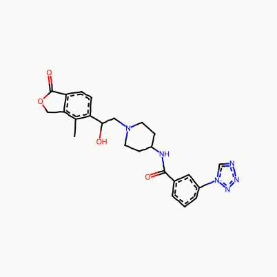 Cc1c(C(O)CN2CCC(NC(=O)c3cccc(-n4cnnn4)c3)CC2)ccc2c1COC2=O